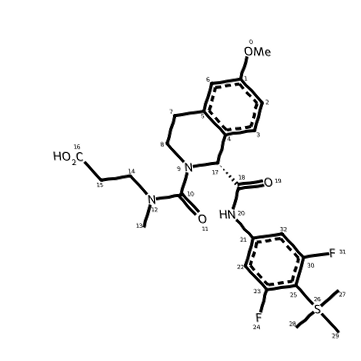 COc1ccc2c(c1)CCN(C(=O)N(C)CCC(=O)O)[C@H]2C(=O)Nc1cc(F)c(S(C)(C)C)c(F)c1